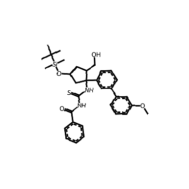 COc1cccc(-c2cccc(C3(NC(=S)NC(=O)c4ccccc4)CC(O[Si](C)(C)C(C)(C)C)CC3CO)c2)c1